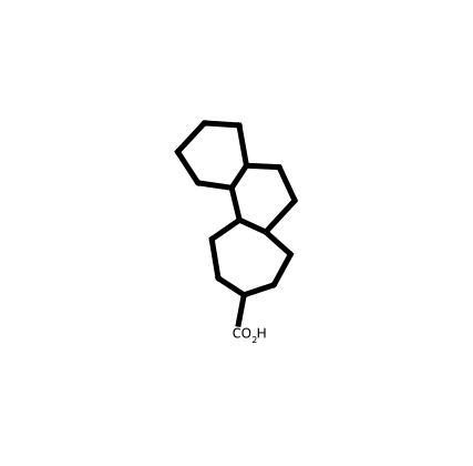 O=C(O)C1CCC2CCC3CCCCC3C2CC1